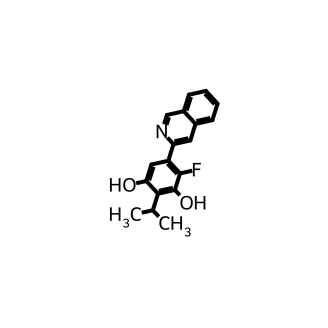 CC(C)c1c(O)cc(-c2cc3ccccc3cn2)c(F)c1O